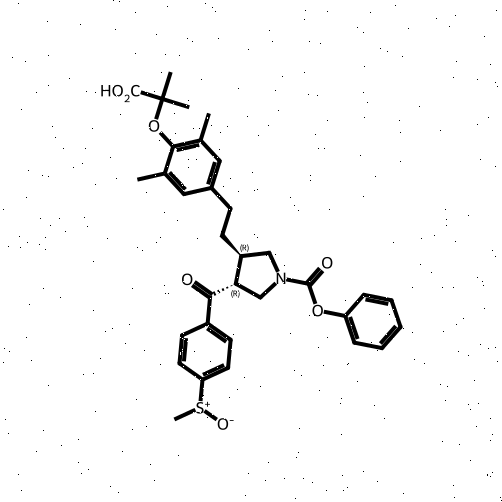 Cc1cc(CC[C@H]2CN(C(=O)Oc3ccccc3)C[C@@H]2C(=O)c2ccc([S+](C)[O-])cc2)cc(C)c1OC(C)(C)C(=O)O